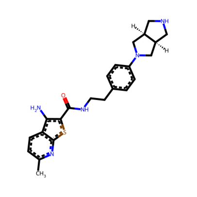 Cc1ccc2c(N)c(C(=O)NCCc3ccc(N4C[C@H]5CNC[C@H]5C4)cc3)sc2n1